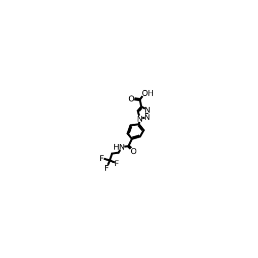 O=C(NCCC(F)(F)F)c1ccc(-n2cc(C(=O)O)nn2)cc1